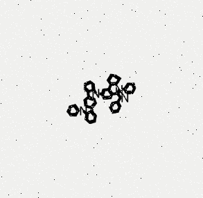 c1ccc(-c2cc(-n3c4ccccc4c4cc5c(cc43)c3ccccc3n5-c3ccccc3)ccc2-c2nc3ccccc3nc2-c2ccccc2)cc1